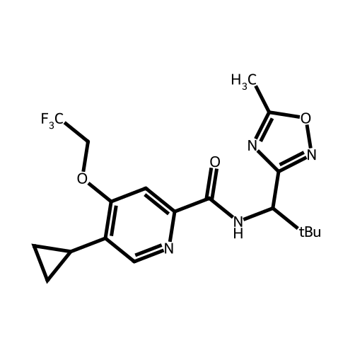 Cc1nc(C(NC(=O)c2cc(OCC(F)(F)F)c(C3CC3)cn2)C(C)(C)C)no1